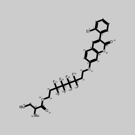 CCc1ccccc1-c1cc2ccc(OCCC(F)(F)C(F)(F)C(F)(F)C(F)(F)CCOC(=O)C(CC(C)(C)C)C(C)(C)C)cc2oc1=O